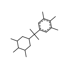 Cc1cc(C(C)(C)C2CC(C)C(C)C(C)C2)cc(C)c1C